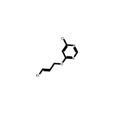 CC/C=C/COc1cc(Cl)ncn1